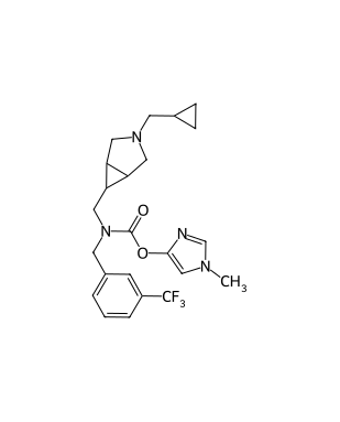 Cn1cnc(OC(=O)N(Cc2cccc(C(F)(F)F)c2)CC2C3CN(CC4CC4)CC32)c1